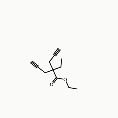 C#CCC(CC)(CC#C)C(=O)OCC